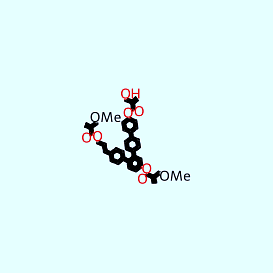 C=C(COC)C(=O)OCCCC1CCC(c2ccc(OC(=O)C(=C)COC)cc2C2CCC(C3CCC(OC(=O)C(=C)CO)CC3)CC2)CC1